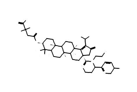 CC(C)C1=C2[C@H]3CC[C@@H]4[C@@]5(C)CC[C@H](OC(=O)CC(C)(C)C(=O)O)C(C)(C)[C@@H]5CC[C@@]4(C)[C@]3(C)CC[C@@]2(C2=NCCC(C3=NCC(Cl)C=C3)N2CCN)CC1=O